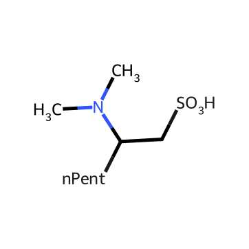 CCCCCC(CS(=O)(=O)O)N(C)C